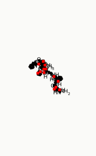 CC[C@@]1(OC(=O)[C@@H](NC(=O)[C@H](CCCCNC(=O)CC(NC(=O)CNC(=O)c2cccc(NC(=N)N)c2)c2ccccc2)NC(=S)Nc2ccccc2)C(C)C)C(=O)OCc2c1cc1n(c2=O)CC2=CC3C=CC=CC3N=C21